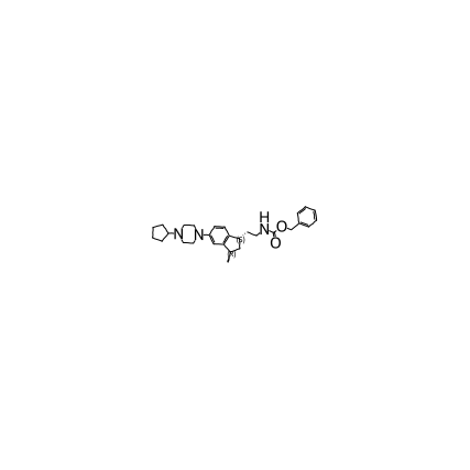 C[C@@H]1C[C@@H](CCNC(=O)OCc2ccccc2)c2ccc(N3CCN(C4CCCC4)CC3)cc21